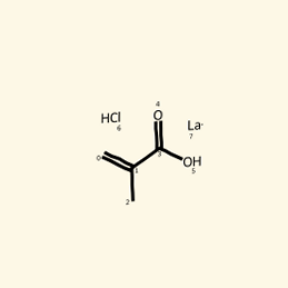 C=C(C)C(=O)O.Cl.[La]